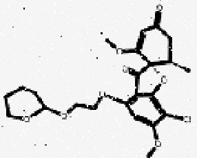 COC1=CC(=O)C[C@@H](C)[C@]12Oc1c(Cl)c(OC)cc(OCCOC3CCCCO3)c1C2=O